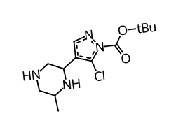 CC1CNCC(c2cnn(C(=O)OC(C)(C)C)c2Cl)N1